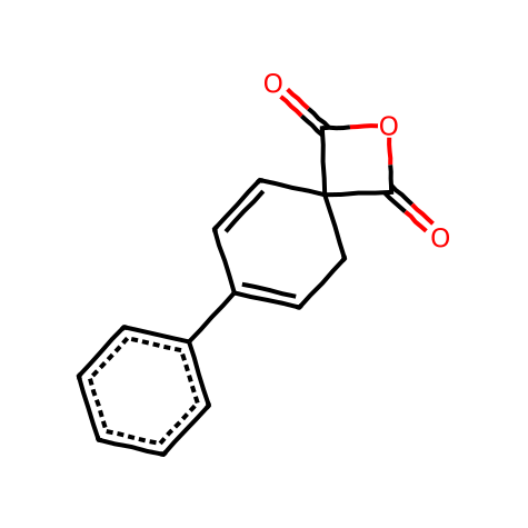 O=C1OC(=O)C12C=CC(c1ccccc1)=CC2